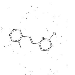 CCc1cccc(C=Cc2ccccc2C)n1